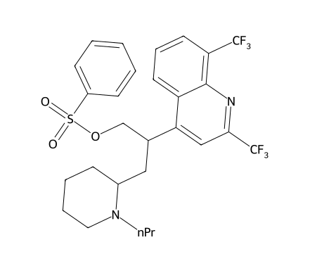 CCCN1CCCCC1CC(COS(=O)(=O)c1ccccc1)c1cc(C(F)(F)F)nc2c(C(F)(F)F)cccc12